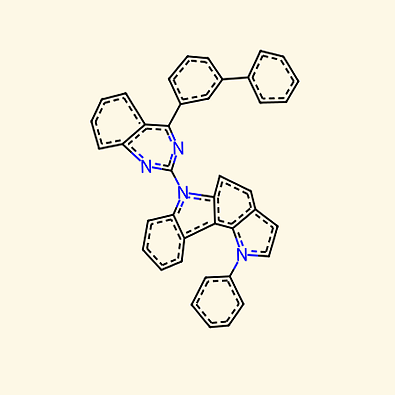 c1ccc(-c2cccc(-c3nc(-n4c5ccccc5c5c6c(ccc54)ccn6-c4ccccc4)nc4ccccc34)c2)cc1